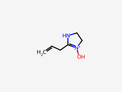 C=CCC1=[N+](O)CCN1